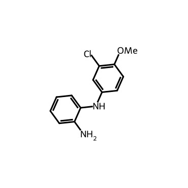 COc1ccc(Nc2ccccc2N)cc1Cl